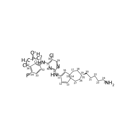 CP(C)(=O)c1c(Nc2nc(Nc3ccc4c(c3)CC[C@@H](CCCCCN)CC4)ncc2Cl)ccc(F)c1Cl